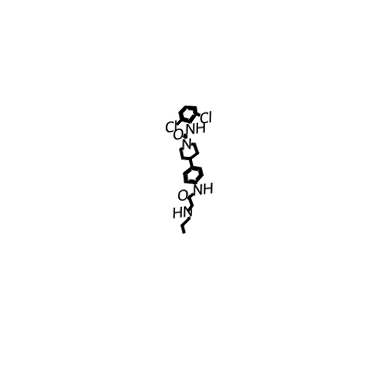 CCCNCC(=O)Nc1ccc(C2CCN(C(=O)Nc3c(Cl)cccc3Cl)CC2)cc1